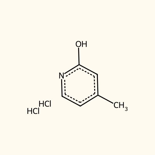 Cc1ccnc(O)c1.Cl.Cl